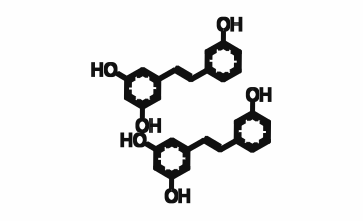 Oc1cccc(/C=C/c2cc(O)cc(O)c2)c1.Oc1cccc(/C=C/c2cc(O)cc(O)c2)c1